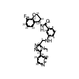 Cn1c(CNc2cccc(C(=O)N[C@H]3CCOc4c(F)cccc43)c2)nnc1-c1ccncn1